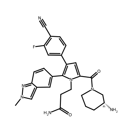 Cn1cc2cc(-c3c(-c4ccc(C#N)c(F)c4)cc(C(=O)N4CCC[C@@H](N)C4)n3CCC(N)=O)ccc2n1